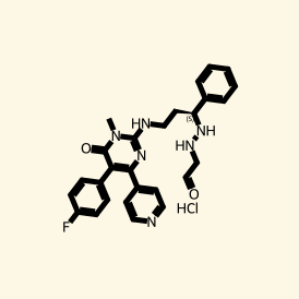 Cl.Cn1c(NCC[C@H](NNCC=O)c2ccccc2)nc(-c2ccncc2)c(-c2ccc(F)cc2)c1=O